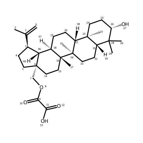 C=C(C)[C@@H]1CC[C@]2(COC(=O)C(=O)O)CC[C@]3(C)[C@H](CC[C@@H]4[C@@]5(C)CC[C@H](O)C(C)(C)[C@@H]5CC[C@]43C)[C@@H]12